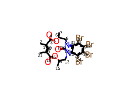 C=C(C)C(=O)OC(C)Cn1c(=O)n(CC(C)OC(=O)C(=C)C)c2c(Br)c(Br)c(Br)c(Br)c21